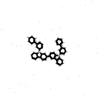 C1=CC(N2C3CCC=CC3C3C=CC(c4ccc5c(c4)c4c(n5C5=CCCC(c6ccccc6)=C5)CCC=C4)CC32)CC(C2=CCCCC2)=C1